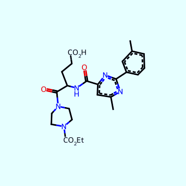 CCOC(=O)N1CCN(C(=O)C(CCC(=O)O)NC(=O)c2cc(C)nc(-c3cccc(C)c3)n2)CC1